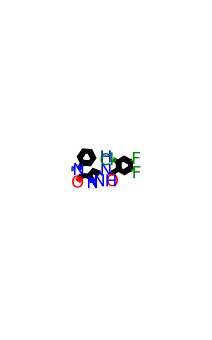 CN(C(=O)c1cc(NC(=O)c2cc(F)c(F)cc2Cl)[nH]n1)c1ccccc1